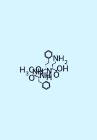 CNC(=O)[C@H](Cc1ccccc1)NC(=O)[C@H](CCc1ccccc1)N[C@@H](CCN)C(=O)O